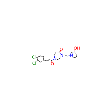 O=C(/C=C/c1ccc(Cl)c(Cl)c1)N1CCC(=O)N(CCN2CCC[C@@H](O)C2)CC1